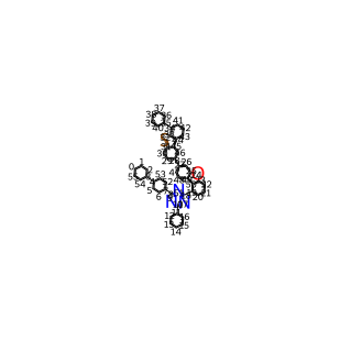 c1ccc(-c2ccc(-c3nc(-c4ccccc4)nc(-c4cccc5oc6cc(-c7ccc8sc9c(-c%10ccccc%10)cccc9c8c7)ccc6c45)n3)cc2)cc1